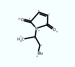 CCC(C)CC(C)N1C(=O)C=CC1=O